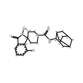 CN1C(=S)c2cccc(Cl)c2C12CCN(C(=O)NC1C3CC4CC(C3)CC1C4)CC2